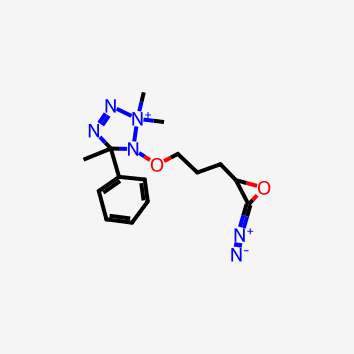 CC1(c2ccccc2)N=N[N+](C)(C)N1OCCCC1OC1=[N+]=[N-]